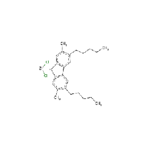 CCCCCc1cc2c(cc1C)[CH]c1cc(C)c(CCCCC)cc1-2.[Cl][Zr][Cl]